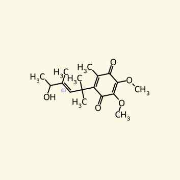 COC1=C(OC)C(=O)C(C(C)(C)/C=C(\C)C(C)O)=C(C)C1=O